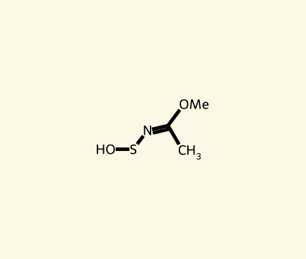 CO/C(C)=N/SO